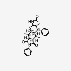 C[C@H]1[C@H]2Sc3[nH]c(=O)sc3[C@H](c3ccccc3)[C@H]2[C@@H](C)[C@H]2C(=O)N(c3ccccc3)C(=O)[C@@H]12